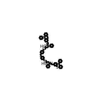 OC(CSc1ccc(Sc2ccc(SCC(O)CN(N=Cc3ccc4c(c3)Sc3ccccc3N4c3ccccc3)c3ccccc3)cc2)cc1)CN(N=Cc1ccc2c(c1)Sc1ccccc1N2c1ccccc1)c1ccccc1